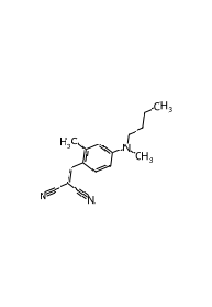 CCCCN(C)c1ccc(C=C(C#N)C#N)c(C)c1